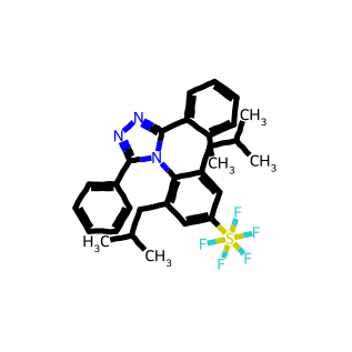 Cc1ccccc1-c1nnc(-c2ccccc2)n1-c1c(CC(C)C)cc(S(F)(F)(F)(F)F)cc1CC(C)C